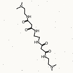 CN(C)CCNC(=O)CC(=O)NCCNC(=O)CC(=O)NCCN(C)C